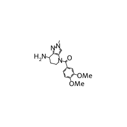 COc1ccc(C(=O)N2CCC(N)c3nn(C)cc32)cc1OC